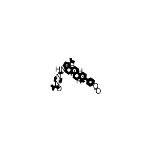 C=C(C)[C@@H]1CC[C@]2(NCCN3CCN(C(=O)C(C)C)CC3)CC[C@]3(C)[C@H](CC[C@@H]4[C@@]5(C)CC=C(c6ccc(OC=O)cc6)C(C)(C)[C@@H]5CC[C@]43C)[C@@H]12